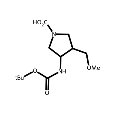 COCC1CN(C(=O)O)CC1NC(=O)OC(C)(C)C